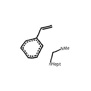 C=Cc1ccccc1.CCCCCCCCNC